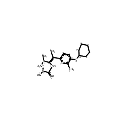 Cc1nc(/C(N)=C(\NC(=N)NO)N(C)N)ccc1OC1CCCCC1